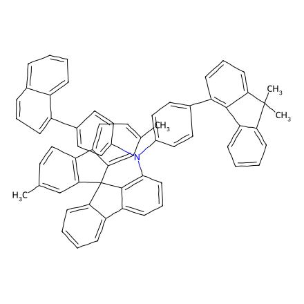 Cc1ccc2c(c1)C1(c3cc(C)ccc3-2)c2ccccc2-c2cccc(N(c3ccc(-c4cccc5c4-c4ccccc4C5(C)C)cc3)c3ccc(-c4cccc5ccccc45)cc3)c21